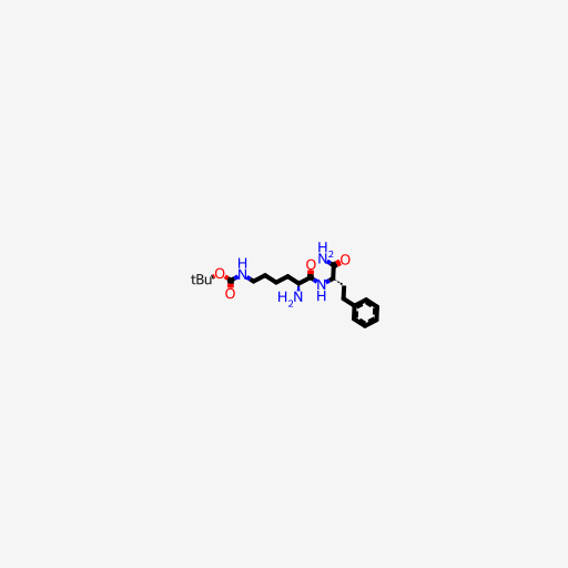 CC(C)(C)OC(=O)NCCCC[C@H](N)C(=O)N[C@@H](CCc1ccccc1)C(N)=O